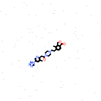 Cc1cc(-n2cnnn2)cnc1CC(=O)N1CCN(CCc2ccc3c(c2C)COC3=O)CC1